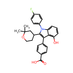 CC1(C)CC(c2c(-c3ccc(C(=O)O)cc3)c3c(O)cccc3n2-c2ccc(F)cc2)CCO1